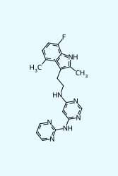 Cc1[nH]c2c(F)ccc(C)c2c1CCNc1cc(Nc2ncccn2)ncn1